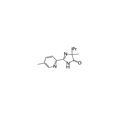 Cc1ccc(C2=NC(C)(C(C)C)C(=O)N2)nc1